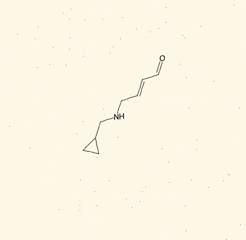 O=CC=CCNCC1CC1